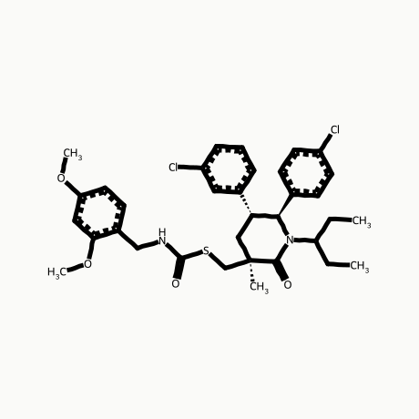 CCC(CC)N1C(=O)[C@@](C)(CSC(=O)NCc2ccc(OC)cc2OC)C[C@H](c2cccc(Cl)c2)[C@H]1c1ccc(Cl)cc1